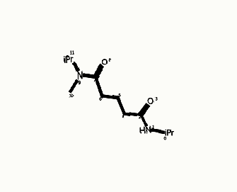 CC(C)NC(=O)CCCC(=O)N(C)C(C)C